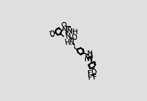 COc1ccc(N2C(=O)CN/C2=N\C(=O)NCCc2ccc(-c3ncn(-c4ccc(OC(F)(F)F)cc4)n3)cc2)c(C)c1